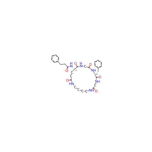 O=C1CC[C@H](NC(=O)CCc2ccccc2)C(=O)NCC(=O)N[C@H](Cc2ccccc2)C(=O)NCC(=O)NCCCCN1